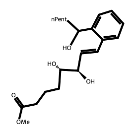 CCCCCC(O)c1ccccc1C=C[C@@H](O)[C@@H](O)CCCC(=O)OC